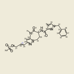 CN1C(=O)C(NC(=O)c2ncn(Cc3ccccc3)n2)CCn2nc(/C=C/COS(C)(=O)=O)cc21